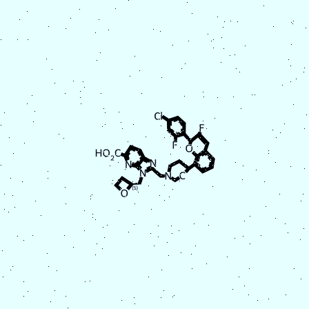 O=C(O)c1ccc2nc(CN3CCC(c4cccc5c4OC(c4ccc(Cl)cc4F)C(F)=C5)CC3)n(C[C@@H]3CCO3)c2n1